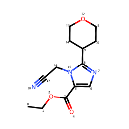 CCOC(=O)c1cnc(C2CCOCC2)n1CC#N